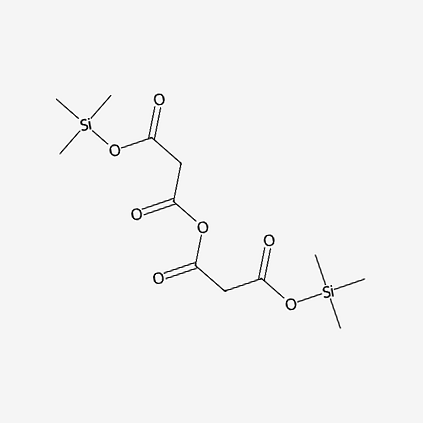 C[Si](C)(C)OC(=O)CC(=O)OC(=O)CC(=O)O[Si](C)(C)C